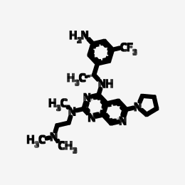 C[C@@H](Nc1nc(N(C)CCN(C)C)nc2cnc(N3CCCC3)cc12)c1cc(N)cc(C(F)(F)F)c1